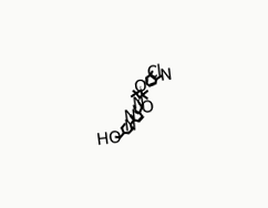 CC1(C)[C@H](Oc2ccc(C#N)c(Cl)c2)C(C)(C)[C@H]1N1Cc2nc(N3CCC(CO)CC3)ccc2C1=O